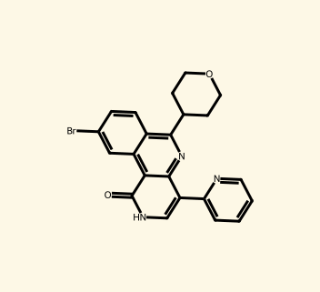 O=c1[nH]cc(-c2ccccn2)c2nc(C3CCOCC3)c3ccc(Br)cc3c12